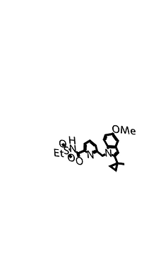 CCS(=O)(=O)NC(=O)c1cccc(Cn2c(C3(C)CC3)cc3cc(OC)ccc32)n1